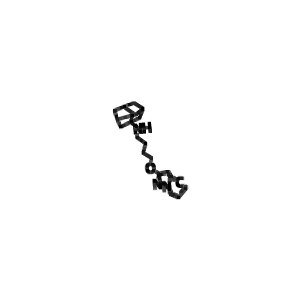 c1ccn2nc(OCCCCNC34CC5CC(CC(C5)C3)C4)cc2c1